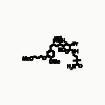 COCCCOc1cc(C[C@@H](C[C@H](N)[C@@H](O)C[C@H](C(=O)NCCC(C)(C)C(N)=O)C(C)C)C(C)C)ccc1OC.Cl